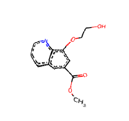 COC(=O)c1cc(OCCO)c2ncccc2c1